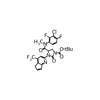 CN(C(=O)C1CN(C(=O)OC(C)(C)C)C(=O)N1c1cc(C(F)(F)F)c2c(n1)C=CC2)c1ccc(F)c(Cl)c1F